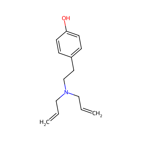 C=CCN(CC=C)CCc1ccc(O)cc1